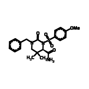 COc1ccc(S(=O)(=O)N2C(=O)N(Cc3ccccc3)CC(C)(C)[C@@H]2C(N)=O)cc1